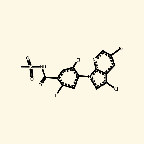 CS(=O)(=O)NC(=O)c1cc(Cl)c(-n2cc(Cl)c3cc(Br)cnc32)cc1F